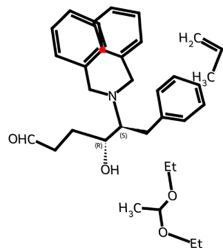 C=CC.CCOC(C)OCC.O=CCC[C@@H](O)[C@H](Cc1ccccc1)N(Cc1ccccc1)Cc1ccccc1